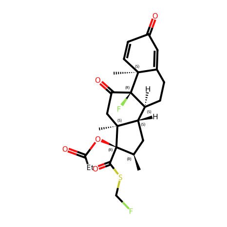 CCC(=O)O[C@]1(C(=O)SCF)[C@H](C)C[C@H]2[C@@H]3CCC4=CC(=O)C=C[C@]4(C)[C@@]3(F)C(=O)C[C@@]21C